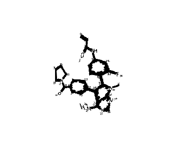 C=CC(=O)Nc1ccc(-c2c(-c3ccc(C(=O)N4CCCC4)cc3)c3c(N)ncnc3n2C)c(F)c1